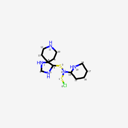 ClSN(SC1NCNC12CCNCC2)C1CCCCN1